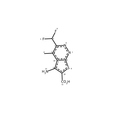 Cc1c(C(F)F)nnc2sc(C(=O)O)c(N)c12